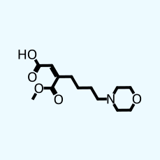 COC(=O)C(=CC(=O)O)CCCCN1CCOCC1